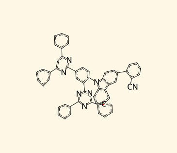 N#Cc1ccccc1-c1ccc2c(c1)c1ccccc1n2-c1ccc(-c2nc(-c3ccccc3)cc(-c3ccccc3)n2)cc1-c1nc(-c2ccccc2)nc(-c2ccccc2)n1